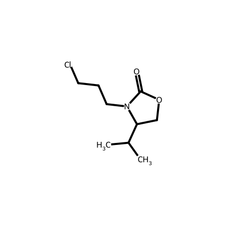 CC(C)C1COC(=O)N1CCCCl